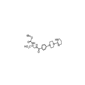 CC(C)(C)OC(=O)N[C@@H](CNC(=O)c1ccc(N2CCN(C3=NCCCN3)CC2)cc1)C(=O)O